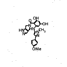 COc1ccc(-c2cc(Nc3cc(O)cc(O)c3C(=O)N3Cc4cn[nH]c4C3)n(C)n2)cc1